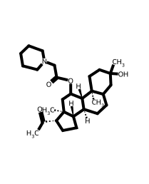 CC(=O)[C@H]1CC[C@H]2[C@@H]3CCC4CC(C)(O)CC[C@]4(C)[C@H]3C(OC(=O)CN3CCCCC3)C[C@]12C